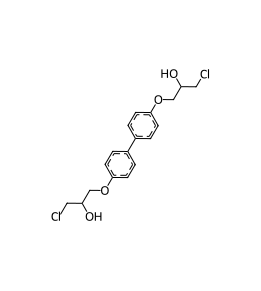 OC(CCl)COc1ccc(-c2ccc(OCC(O)CCl)cc2)cc1